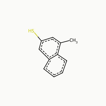 Cc1cc(S)cc2ccccc12